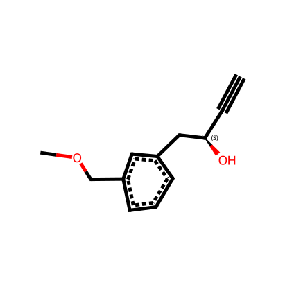 C#C[C@@H](O)Cc1cccc(COC)c1